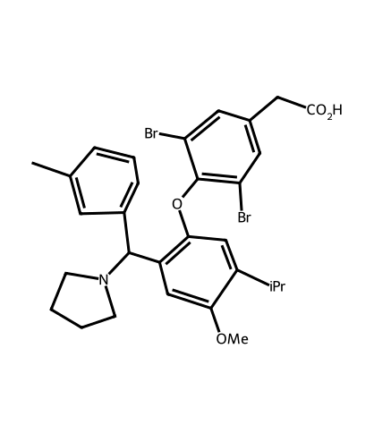 COc1cc(C(c2cccc(C)c2)N2CCCC2)c(Oc2c(Br)cc(CC(=O)O)cc2Br)cc1C(C)C